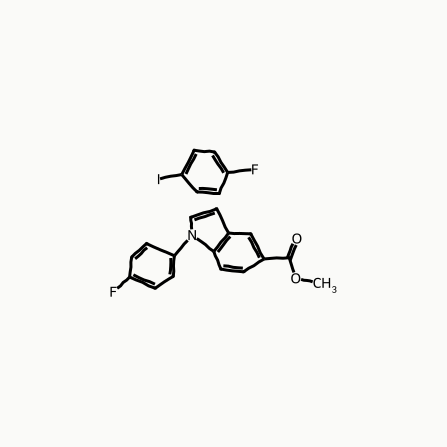 COC(=O)c1ccc2c(ccn2-c2ccc(F)cc2)c1.Fc1ccc(I)cc1